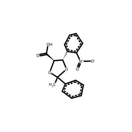 CC1(c2ccccc2)O[C@@H](C(=O)O)[C@H](c2ccccc2[N+](=O)[O-])O1